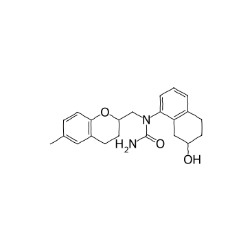 Cc1ccc2c(c1)CCC(CN(C(N)=O)c1cccc3c1CC(O)CC3)O2